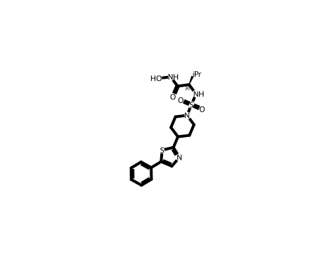 CC(C)[C@@H](NS(=O)(=O)N1CCC(c2ncc(-c3ccccc3)s2)CC1)C(=O)NO